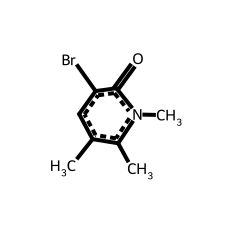 Cc1cc(Br)c(=O)n(C)c1C